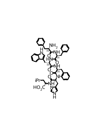 CC(C)C[C@H](NC(=O)[C@H](Cc1c[nH]cn1)NC(=O)[C@H](Cc1ccccc1)NC(=O)[C@H](Cc1c[nH]c2ccccc12)NC(=O)[C@H](Cc1ccccc1)NC(=O)[C@@H](N)Cc1ccccc1)C(=O)O